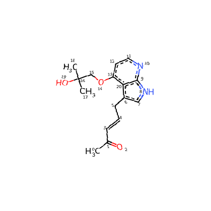 CC(=O)C=CCc1c[nH]c2nccc(OCC(C)(C)O)c12